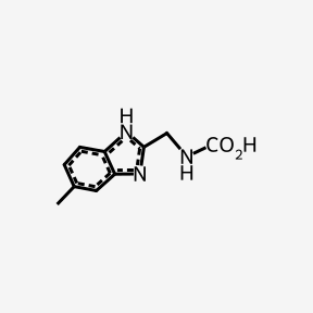 Cc1ccc2[nH]c(CNC(=O)O)nc2c1